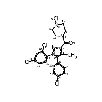 Cc1c(C(=O)N2CCN(C)CC2)nn(-c2ccc(Cl)cc2Cl)c1-c1ccc(Cl)cc1